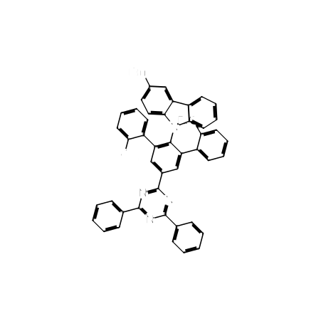 CC(C)(C)c1ccc2c(c1)c1ccccc1n2-c1c(-c2ccccc2C(F)(F)F)cc(-c2nc(-c3ccccc3)nc(-c3ccccc3)n2)cc1-c1ccccc1C(F)(F)F